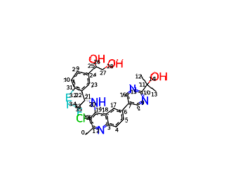 Cc1nc2ccc(-c3cnc(C(C)(C)O)nc3)cc2c(N[C@@H](c2cc(C(O)CO)ccc2F)C(F)F)c1Cl